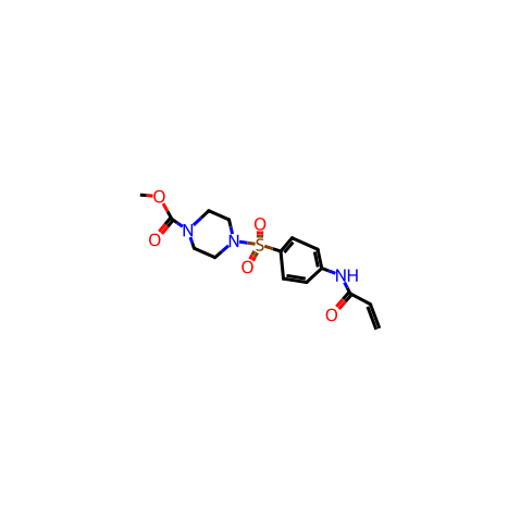 C=CC(=O)Nc1ccc(S(=O)(=O)N2CCN(C(=O)OC)CC2)cc1